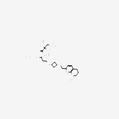 CC(C)(CC#N)C(=O)NC(CCO[C@H]1C[C@H](CCc2ccc3c(n2)NCCC3)C1)C(=O)O